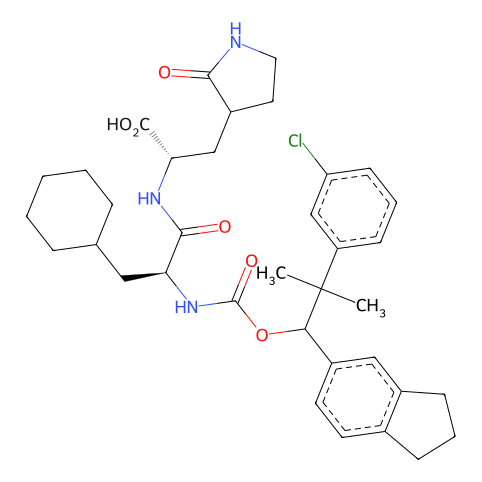 CC(C)(c1cccc(Cl)c1)C(OC(=O)N[C@@H](CC1CCCCC1)C(=O)N[C@@H](CC1CCNC1=O)C(=O)O)c1ccc2c(c1)CCC2